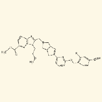 COCCn1c(CN2CC3C=C(c4cccc(OCc5ccc(C#N)cc5F)n4)CC3C2)nc2ccc(C(=O)OC)cc21